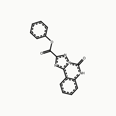 O=C(Oc1ccccc1)c1nc2c3ccccc3[nH]c(=O)n2n1